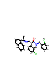 C[C@@H](NCCC(=O)N(Cc1ccccc1Cl)Cc1ccccc1Cl)c1cccc2ccccc12